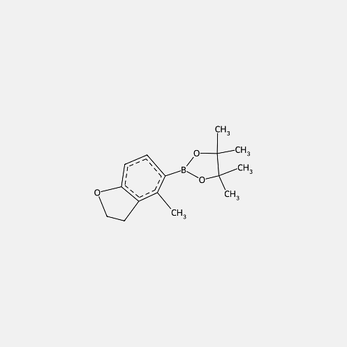 Cc1c(B2OC(C)(C)C(C)(C)O2)ccc2c1CCO2